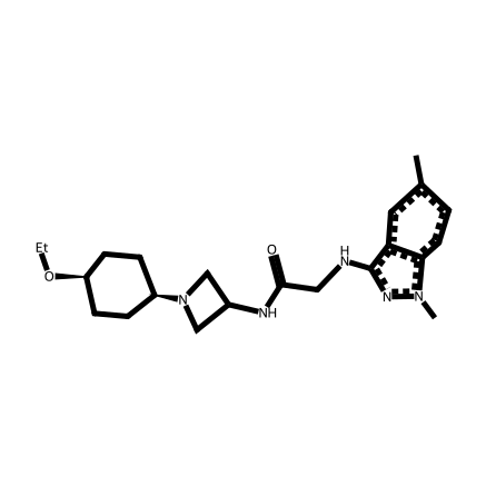 CCO[C@H]1CC[C@@H](N2CC(NC(=O)CNc3nn(C)c4ccc(C)cc34)C2)CC1